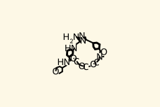 CN1CCOCCOCCOc2c(CNCC3CCOCC3)cccc2NCc2nc(cnc2N)-c2ccc(cc2)C1=O